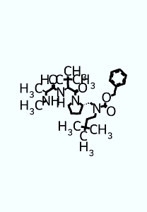 CN[C@@H](C)C(=O)N[C@H](C(=O)N1CCC[C@H]1CN(CCC(C)(C)C)C(=O)OCc1ccccc1)C(C)(C)C